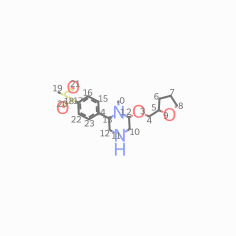 CN1C(OCC2CCCO2)CNCC1c1ccc(S(C)(=O)=O)cc1